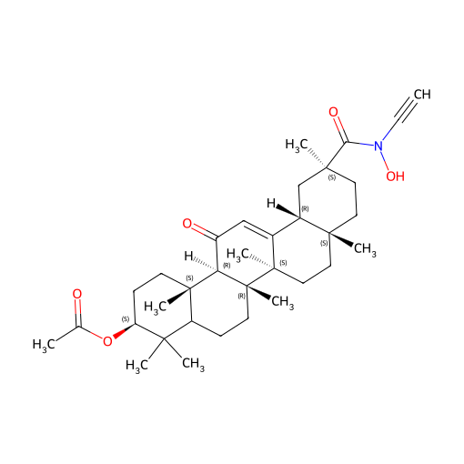 C#CN(O)C(=O)[C@@]1(C)CC[C@]2(C)CC[C@]3(C)C(=CC(=O)[C@@H]4[C@@]5(C)CC[C@H](OC(C)=O)C(C)(C)C5CC[C@]43C)[C@@H]2C1